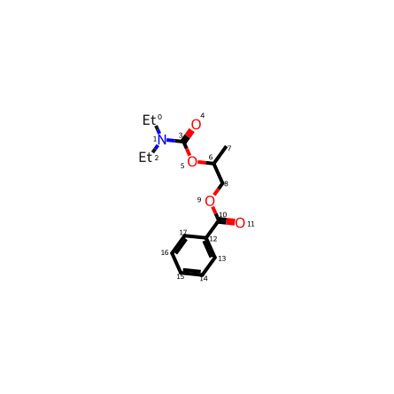 CCN(CC)C(=O)OC(C)COC(=O)c1ccccc1